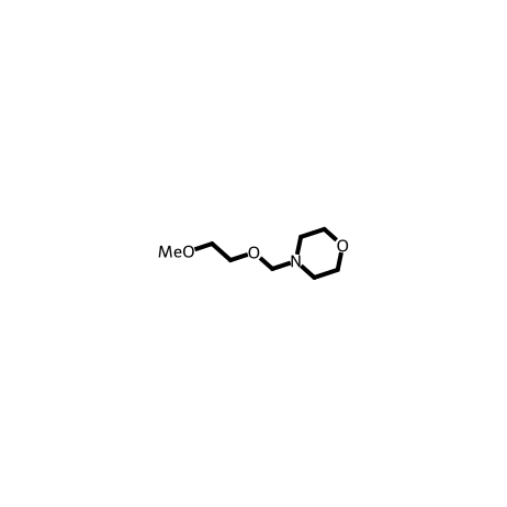 COCCOCN1CCOCC1